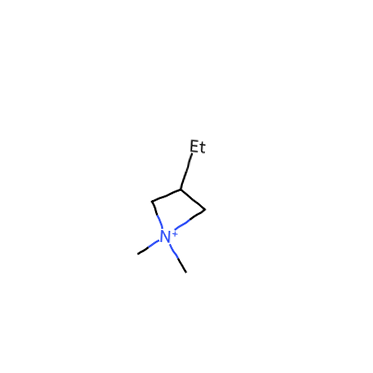 CCC1C[N+](C)(C)C1